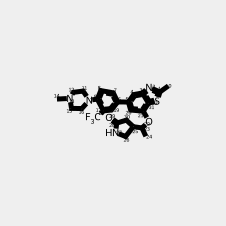 Cc1nc2cc(-c3ccc(N4CCN(C)CC4)c(C(F)(F)F)c3)cc(OC(C)C3CNC(=O)C3)c2s1